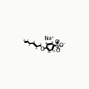 C=CCC=CCOc1ccc(S(=O)(=O)[O-])cc1.[Na+]